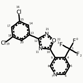 FC(F)(F)c1ccncc1-c1nc(-c2cc(Cl)cc(Cl)c2)no1